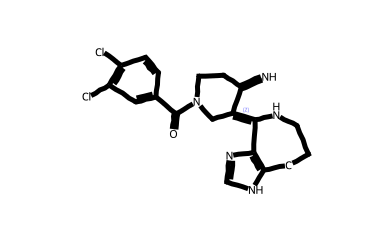 N=C1CCN(C(=O)c2ccc(Cl)c(Cl)c2)C/C1=C1/NCCCc2[nH]cnc21